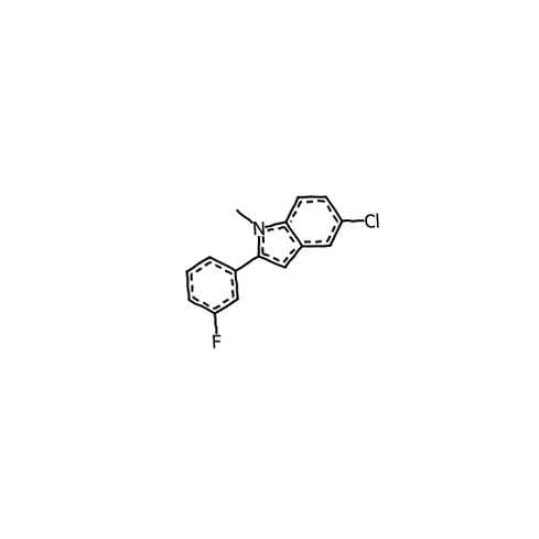 Cn1c(-c2cccc(F)c2)cc2cc(Cl)ccc21